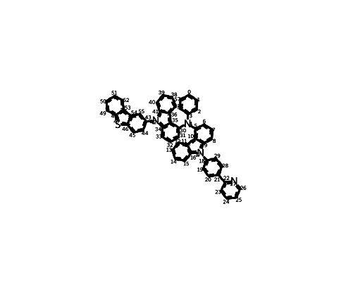 c1ccc(N(c2cccc3c2c2ccccc2n3-c2ccc(-c3ccccn3)cc2)c2cccc3c2c2ccccc2n3-c2ccc3sc4ccccc4c3c2)cc1